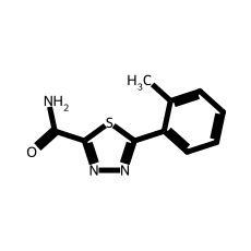 Cc1ccccc1-c1nnc(C(N)=O)s1